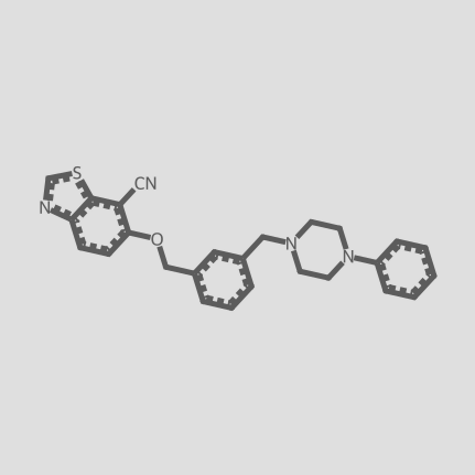 N#Cc1c(OCc2cccc(CN3CCN(c4ccccc4)CC3)c2)ccc2ncsc12